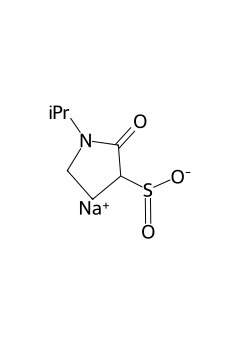 CC(C)N1CCC(S(=O)[O-])C1=O.[Na+]